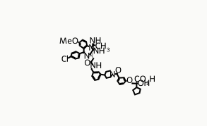 COc1ccc2c(c1)C(c1ccc(Cl)cc1)=N[C@@H](CC(=O)NCc1cccc(C3CCN(C(=O)c4cccc(OCC(O)(C(=O)O)C5CCCC5)c4)CC3)c1)C(=N)N2C(C)=N